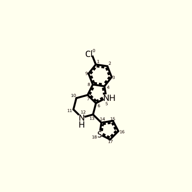 Clc1ccc2[nH]c3c(c2c1)CCNC3c1cccs1